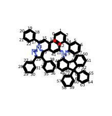 c1ccc(-c2ccccc2N(c2ccc3cc(-c4ccccc4)n4nc(-c5ccccc5)c(-c5ccccc5)c4c3c2)c2cccc3c2-c2ccccc2C3(c2ccccc2)c2ccccc2)cc1